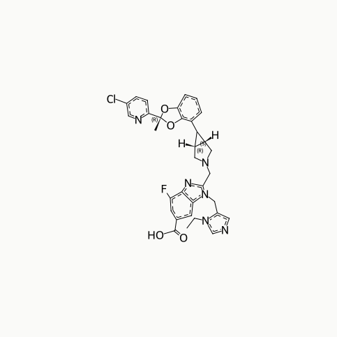 CCn1cncc1Cn1c(CN2C[C@@H]3C(c4cccc5c4O[C@](C)(c4ccc(Cl)cn4)O5)[C@@H]3C2)nc2c(F)cc(C(=O)O)cc21